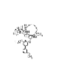 COc1cccc(-c2cc(O[C@@H]3C[C@H]4C(=O)N[C@]5(C(=O)NS(=O)(=O)C6(C)CC6)C[C@H]5/C=C\CCCCN(C)C(=O)[C@@H]4C3)nc(OC)n2)c1